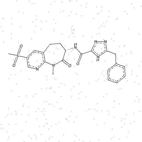 CN1C(=O)[C@@H](NC(=O)c2nnc(Cc3ccccc3)[nH]2)CCc2cc(S(C)(=O)=O)cnc21